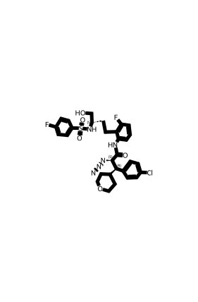 [N-]=[N+]=N[C@H](C(=O)Nc1cccc(F)c1CC[C@@H](CO)NS(=O)(=O)c1ccc(F)cc1)[C@@H](c1ccc(Cl)cc1)C1CCOCC1